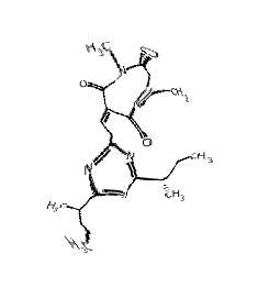 CC[C@@H](C)c1nc(C=C2C(=O)N(C)C(=O)N(C)C2=O)nc([C@@H](C)CC)n1